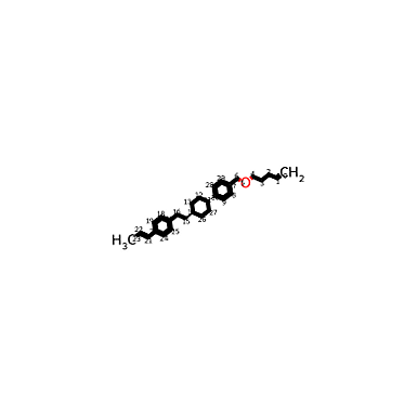 C=CCCCOCc1ccc([C@H]2CC[C@H](CCc3ccc(C=CC)cc3)CC2)cc1